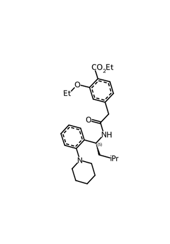 CCOC(=O)c1ccc(CC(=O)N[C@@H](CC(C)C)c2ccccc2N2CCCCC2)cc1OCC